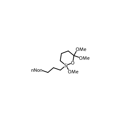 CCCCCCCCCCCC[Si]1(OC)CCCC(OC)(OC)O1